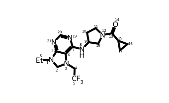 CCN1CN(CC(F)(F)F)c2c(NC3CCN(C(=O)C4CC4)C3)ncnc21